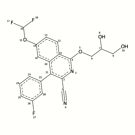 N#Cc1nc(OCC(O)CO)c2ccc(OC(F)F)cc2c1-c1cccc(F)c1